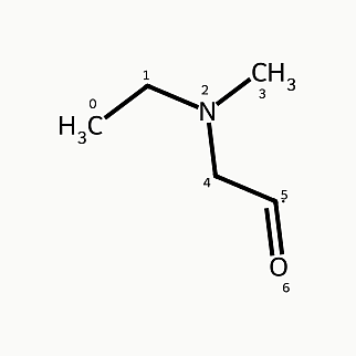 CCN(C)C[C]=O